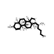 CC(C)CCC[C@@H](C)[C@H]1CC[C@H]2[C@H]3CC[C@@H]4C[C@H](O)C=C[C@@]4(C)[C@H]3CC[C@]12C